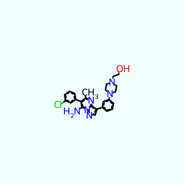 Cc1nc2c(-c3cccc(N4CCN(CCO)CC4)c3)cnn2c(N)c1-c1cccc(Cl)c1